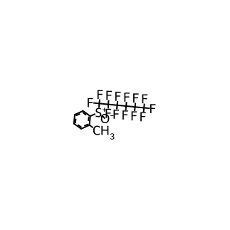 Cc1ccccc1[S+]([O-])C(F)(F)C(F)(F)C(F)(F)C(F)(F)C(F)(F)C(F)(F)F